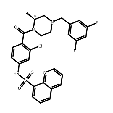 C[C@H]1CN(Cc2cc(F)cc(F)c2)CCN1C(=O)c1ccc(NS(=O)(=O)c2cccc3cccnc23)cc1Cl